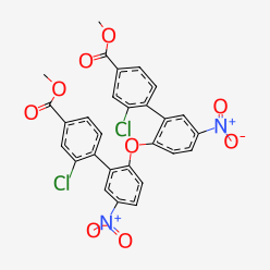 COC(=O)c1ccc(-c2cc([N+](=O)[O-])ccc2Oc2ccc([N+](=O)[O-])cc2-c2ccc(C(=O)OC)cc2Cl)c(Cl)c1